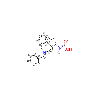 CC(C)CC12CN(C(=O)O)CC1C2N(Cc1ccccc1)Cc1ccccc1